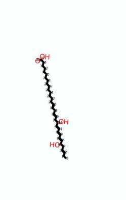 CCC=CC[C@H](O)C=CC=CC=CC(O)CC=CCC=CCCCCCCCCCCCCCCC(=O)O